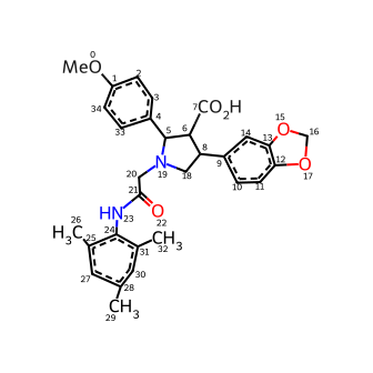 COc1ccc(C2C(C(=O)O)C(c3ccc4c(c3)OCO4)CN2CC(=O)Nc2c(C)cc(C)cc2C)cc1